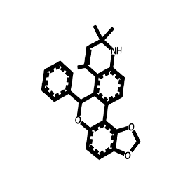 CC1=CC(C)(C)Nc2ccc3c(c21)C(c1ccccc1)Oc1ccc2c(c1-3)OCO2